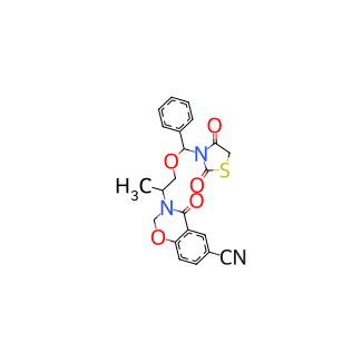 CC(COC(c1ccccc1)N1C(=O)CSC1=O)N1COc2ccc(C#N)cc2C1=O